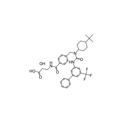 CC(C)(C)C1CCC(N(Cc2ccc(C(=O)NC[C@@H](O)C(=O)O)cc2)C(=O)Nc2cc(-c3ccccc3)cc(C(F)(F)F)c2)CC1